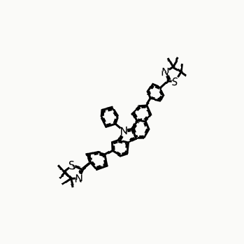 CC1(C)N=C(c2ccc(-c3ccc4c(ccc5c6ccc(-c7ccc(C8=NC(C)(C)C(C)(C)S8)cc7)cc6n(-c6ccccc6)c45)c3)cc2)SC1(C)C